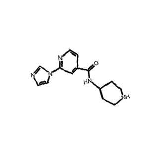 O=C(NC1CCNCC1)c1ccnc(-n2ccnc2)c1